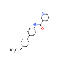 O=C(O)C[C@H]1CC[C@@H](c2ccc(NC(=O)c3cccnc3)cc2)CC1